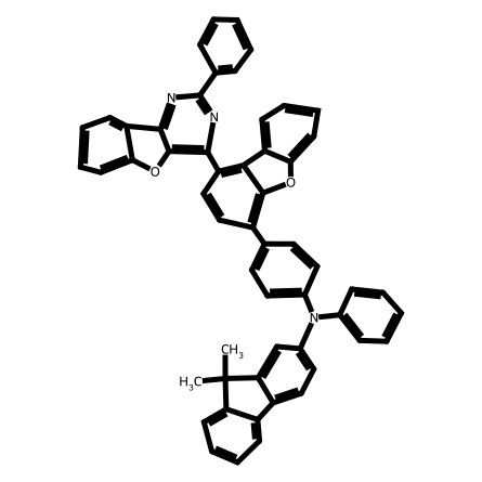 CC1(C)c2ccccc2-c2ccc(N(c3ccccc3)c3ccc(-c4ccc(-c5nc(-c6ccccc6)nc6c5oc5ccccc56)c5c4oc4ccccc45)cc3)cc21